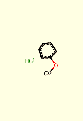 Cl.[Co][O]c1ccccc1